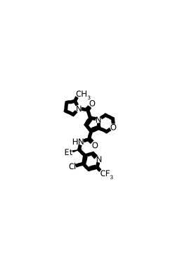 CC[C@@H](NC(=O)c1cc(C(=O)N2CCCC2C)n2c1COCC2)c1cnc(C(F)(F)F)cc1Cl